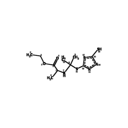 CCOC(=O)C(C)BC(C)(C)Sc1nnc(S)s1